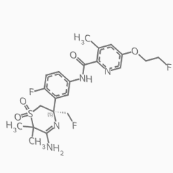 Cc1cc(OCCF)cnc1C(=O)Nc1ccc(F)c([C@]2(CF)CS(=O)(=O)C(C)(C)C(N)=N2)c1